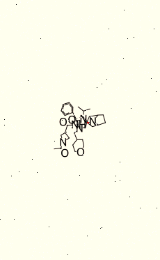 CC(=O)N1CC(C(=O)N[C@@H](CCN2C3CCC2CC2(C3)CN(CC3CCOCC3)C(=O)N2C(C)C)c2ccccc2)C1